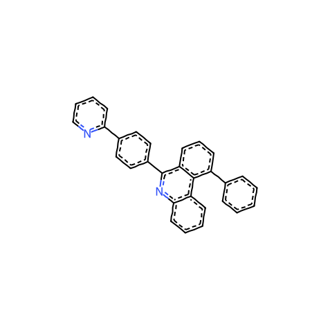 c1ccc(-c2cccc3c(-c4ccc(-c5ccccn5)cc4)nc4ccccc4c23)cc1